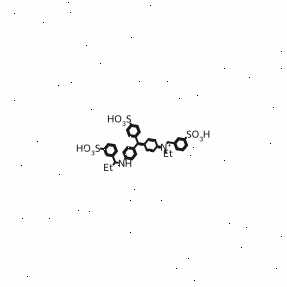 CCC(Nc1ccc(C(=C2C=CC(=[N+](CC)Cc3cccc(S(=O)(=O)O)c3)C=C2)c2ccc(S(=O)(=O)O)cc2)cc1)c1cccc(S(=O)(=O)O)c1